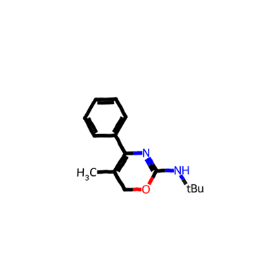 CC1=C(c2ccccc2)N=C(NC(C)(C)C)OC1